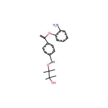 C=C(Oc1ccccc1N)c1ccc(BOC(C)(C)C(C)(C)O)cc1